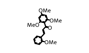 COc1cc(OC)c(C(=O)C=Cc2ccccc2OC)c(OC)c1